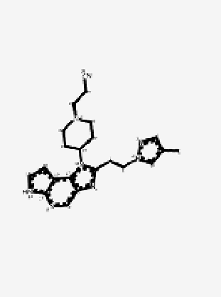 Cc1cnn(CCc2nc3cnc4[nH]ccc4c3n2C2CCN(CCC#N)CC2)c1